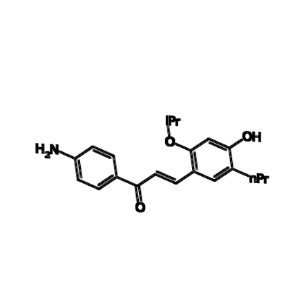 CCCc1cc(C=CC(=O)c2ccc(N)cc2)c(OC(C)C)cc1O